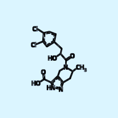 CC1Cc2n[nH]c(C(=O)O)c2CN1C(=O)C(O)Cc1ccc(Cl)c(Cl)c1